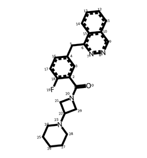 O=C(c1cc(Cc2nncc3ccccc23)ccc1F)N1CC(N2CCCCC2)C1